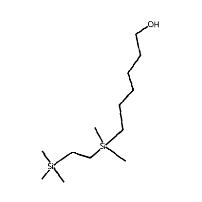 C[Si](C)(C)CC[Si](C)(C)CCCCCCO